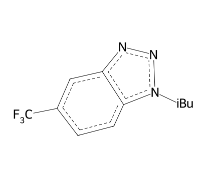 CCC(C)n1nnc2cc(C(F)(F)F)ccc21